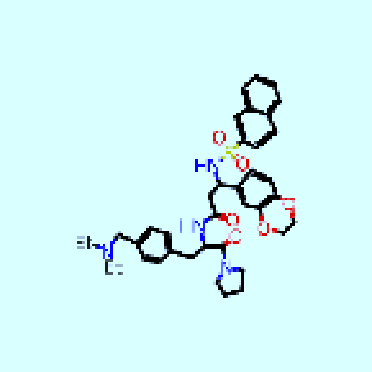 CCN(CC)Cc1ccc(CC(NC(=O)CC(NS(=O)(=O)c2ccc3ccccc3c2)c2ccc3c(c2)OCCO3)C(=O)N2CCCC2)cc1